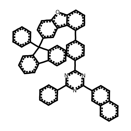 c1ccc(-c2nc(-c3ccc(-c4cccc5oc6ccc(C7(c8ccccc8)c8ccccc8-c8ccccc87)cc6c45)cc3)nc(-c3ccc4ccccc4c3)n2)cc1